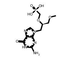 COC[C@@H](Cn1cnc2c(=O)[nH]c(N)nc21)OCP(=O)(O)O